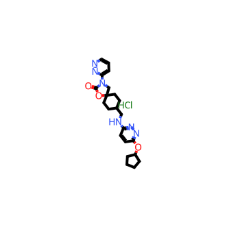 Cl.O=C1OC2(CCC(CNc3ccc(OC4CCCC4)nn3)CC2)CN1c1cccnn1